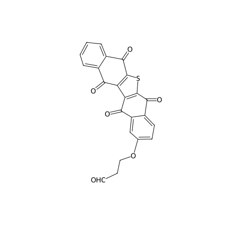 O=CCCOc1ccc2c(=O)c3sc4c(=O)c5ccccc5c(=O)c4c3c(=O)c2c1